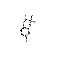 C[C@@H](Cc1ccc(Cl)cc1)S(=O)(=O)Cl